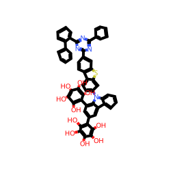 Oc1c(O)c(O)c(-c2cc(-c3c(O)c(O)c(O)c(O)c3O)c3c(c2)c2ccccc2n3-c2ccc3c(c2)sc2cc(-c4nc(-c5ccccc5)nc(-c5ccccc5-c5ccccc5)n4)ccc23)c(O)c1O